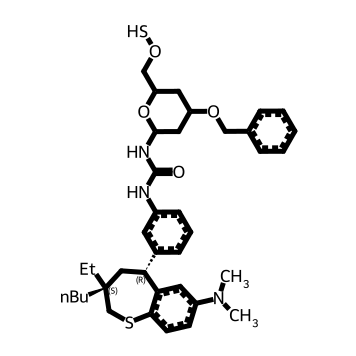 CCCC[C@]1(CC)CSc2ccc(N(C)C)cc2[C@@H](c2cccc(NC(=O)NC3CC(OCc4ccccc4)CC(COS)O3)c2)C1